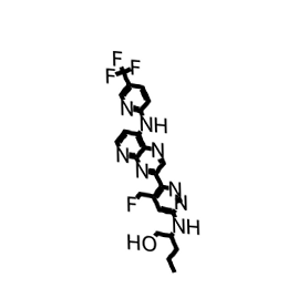 CCCC(CO)Nc1cc(CF)c(-c2cnc3c(Nc4ccc(C(F)(F)F)cn4)ccnc3n2)nn1